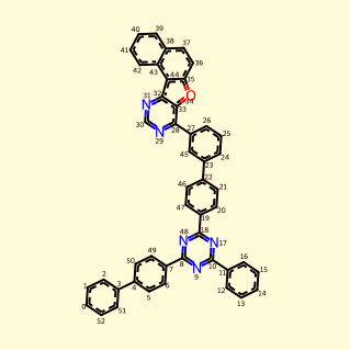 c1ccc(-c2ccc(-c3nc(-c4ccccc4)nc(-c4ccc(-c5cccc(-c6ncnc7c6oc6ccc8ccccc8c67)c5)cc4)n3)cc2)cc1